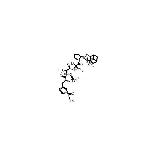 CCC(C)(NC(=O)C(C)NC(=O)C(Cc1cn(C(=O)OC(C)(C)C)cn1)NC(=O)OC(C)(C)C)C(=O)N1CCCC1B1OC2C3CC(C[C@]2(C)O1)C3(C)C